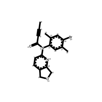 CC#CC(=O)N(c1ccc2c(n1)COC2)c1cc(C)c(Br)cc1C